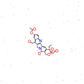 CC[C@@]1(OC(C)=O)C(=O)OCc2c1cc1n(c2=O)Cc2c-1nc1ccc(OC(C)=O)cc1c2C=O